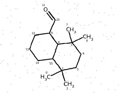 CC1(C)CCC(C)(C)C2C(C=O)CCCC21